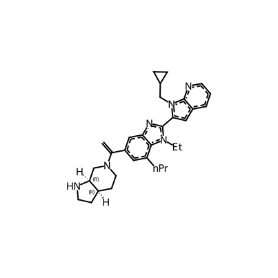 C=C(c1cc(CCC)c2c(c1)nc(-c1cc3cccnc3n1CC1CC1)n2CC)N1CC[C@H]2CCN[C@H]2C1